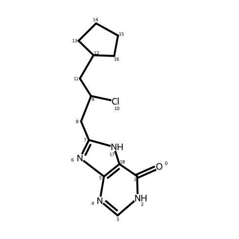 O=c1[nH]cnc2nc(CC(Cl)CC3CCCC3)[nH]c12